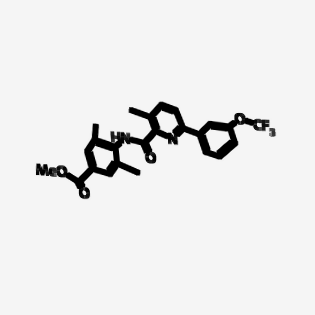 COC(=O)c1cc(C)c(NC(=O)c2nc(-c3cccc(OC(F)(F)F)c3)ccc2C)c(C)c1